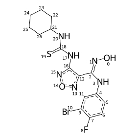 O/N=C(\Nc1ccc(F)c(Br)c1)c1nonc1NC(=S)NC1CCCCC1